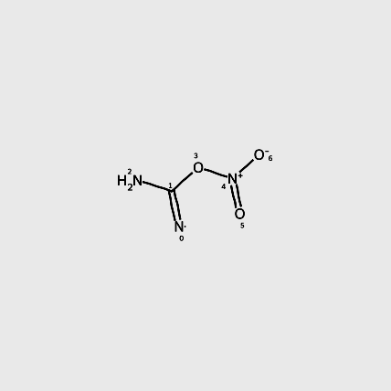 [N]=C(N)O[N+](=O)[O-]